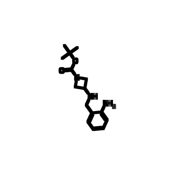 CC(C)(C)OC(=O)N1CC(NCc2ccccc2N)C1